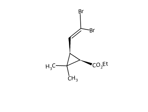 CCOC(=O)[C@@H]1[C@H](C=C(Br)Br)C1(C)C